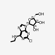 CCNc1nc(Cl)nc2c1ncn2[C@@H]1O[C@H](CO)[C@@H](O)[C@H]1O